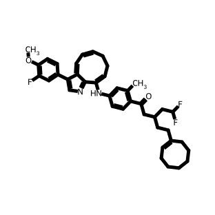 COc1ccc(C2=CN=C3/C2=C\C=C/CC/C=C\3Nc2ccc(C(=O)CC(CC/C3=C/CCCCCC3)CC(F)F)c(C)c2)cc1F